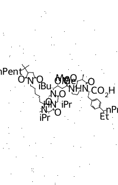 CCCCCC(C)(C)C1CC(=O)N(CCCCCC(=O)N(C)[C@H](C(=O)N[C@H](C(=O)N(C)[C@@H]([C@@H](C)CC)[C@@H](CC(=O)N2CCC[C@H]2[C@H](OC)[C@@H](C)C(=O)N[C@@H](Cc2ccc(C(CC)CCC)cc2)C(=O)O)OC)C(C)C)C(C)C)C1=O